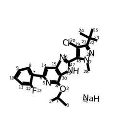 CC(C)Oc1nc(-c2ccccc2F)cc2nc(-c3c(Cl)c(C(C)(C)C)nn3C)[nH]c12.[NaH]